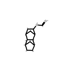 O=COC1CC2CC1C1C3CCC(C3)C21